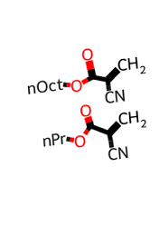 C=C(C#N)C(=O)OCCC.C=C(C#N)C(=O)OCCCCCCCC